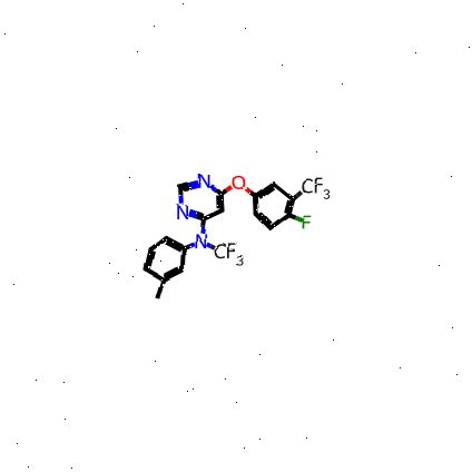 Cc1cccc(N(c2cc(Oc3ccc(F)c(C(F)(F)F)c3)ncn2)C(F)(F)F)c1